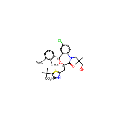 COc1cccc([C@H]2O[C@H](Cc3ncc(C(C)(C)C(=O)O)s3)C(=O)N(CC(C)(C)CO)c3ccc(Cl)cc32)c1OC